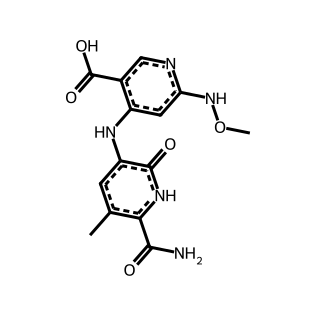 CONc1cc(Nc2cc(C)c(C(N)=O)[nH]c2=O)c(C(=O)O)cn1